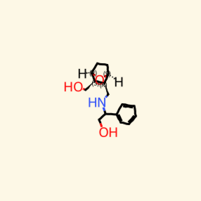 OCC(NC[C@H]1[C@@H](CO)[C@H]2CC[C@@H]1O2)c1ccccc1